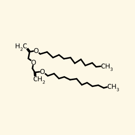 C=C(COCC(=C)OCCCCCCCCCCCC)OCCCCCCCCCCCC